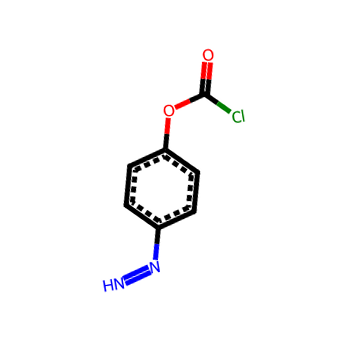 N=Nc1ccc(OC(=O)Cl)cc1